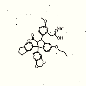 CCCOc1ccc2c(c1)C(c1ccc(OC)cc1CC(=O)O)C(C(=O)[O-])C2(c1ccc2c(c1)CCC2)c1ccc2c(c1)OCO2.[Na+]